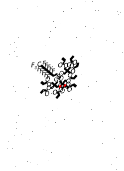 C=CC(=O)OCC(COC(=O)C=C)(COC(=O)C=C)CO[Si](CCC(F)(F)C(F)(F)C(F)(F)C(F)(F)C(F)(F)C(F)(F)F)(OCC(COC(=O)C=C)(COC(=O)C=C)COC(=O)C=C)OCC(COC(=O)C=C)(COC(=O)C=C)COC(=O)C=C